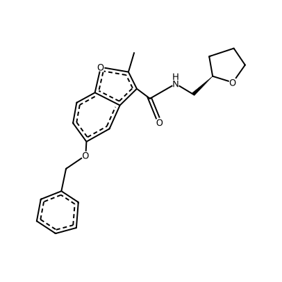 Cc1oc2ccc(OCc3ccccc3)cc2c1C(=O)NC[C@H]1CCCO1